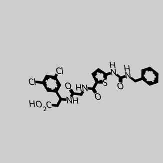 O=C(O)CC(NC(=O)CNC(=O)c1ccc(NC(=O)NCc2ccccc2)s1)c1cc(Cl)cc(Cl)c1